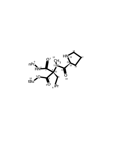 CCCNC(=O)[C@@](CC(C)C)(C(=O)OC(C)(C)C)N(C)C(=O)[C@@H]1CCCN1